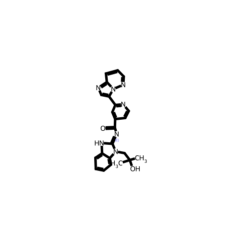 CC(C)(O)Cn1/c(=N/C(=O)c2ccnc(-c3cnc4cccnn34)c2)[nH]c2ccccc21